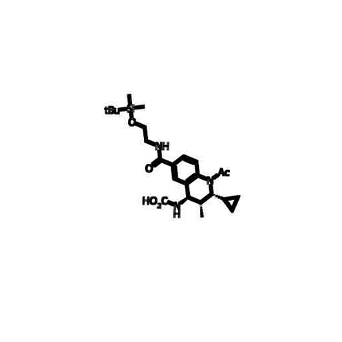 CC(=O)N1c2ccc(C(=O)NCCO[Si](C)(C)C(C)(C)C)cc2[C@H](NC(=O)O)[C@@H](C)[C@H]1C1CC1